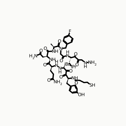 CC[C@H](C)C(NN[C@@H](CCC(N)=O)C(=O)N[C@@H](CC(N)=O)C(=O)N[C@@H](C)C(=O)N(CC(=O)N[C@@H](CC(C)C)C(=O)C(=O)CNN)Cc1ccc(F)cc1)C(=O)C(=O)[C@H](Cc1ccc(O)cc1)NC(=O)CCCS